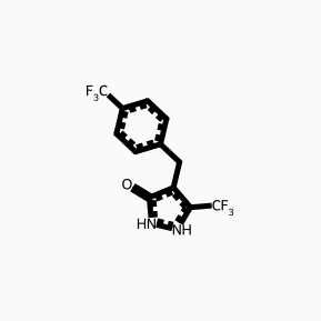 O=c1[nH][nH]c(C(F)(F)F)c1Cc1ccc(C(F)(F)F)cc1